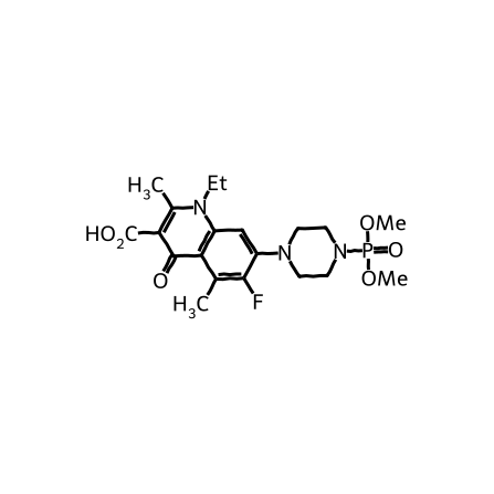 CCn1c(C)c(C(=O)O)c(=O)c2c(C)c(F)c(N3CCN(P(=O)(OC)OC)CC3)cc21